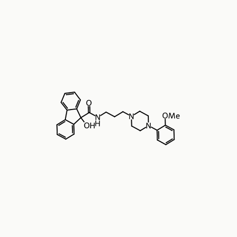 COc1ccccc1N1CCN(CCCNC(=O)C2(O)c3ccccc3-c3ccccc32)CC1